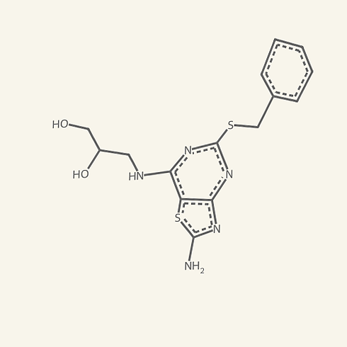 Nc1nc2nc(SCc3ccccc3)nc(NCC(O)CO)c2s1